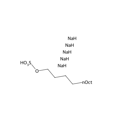 CCCCCCCCCCCCOS(=O)(=O)O.[NaH].[NaH].[NaH].[NaH].[NaH]